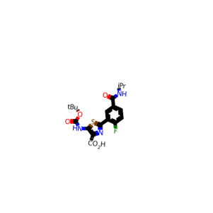 CC(C)NC(=O)c1ccc(F)c(-c2nc(C(=O)O)c(NC(=O)OC(C)(C)C)s2)c1